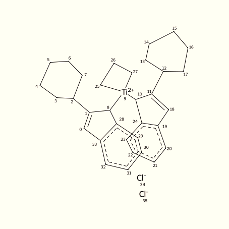 C1=C(C2CCCCC2)[CH]([Ti+2]2([CH]3C(C4CCCCC4)=Cc4ccccc43)[CH2]C[CH2]2)c2ccccc21.[Cl-].[Cl-]